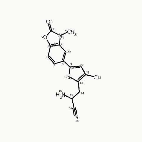 Cn1c(=O)oc2ccc(-c3cc(F)c(CC(N)C#N)s3)cc21